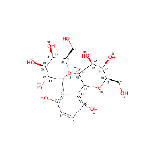 OC[C@H]1OC(c2c(O)ccc(O)c2C2O[C@H](CO)[C@H](O)[C@H](O)[C@H]2O)[C@H](O)[C@@H](O)[C@H]1O